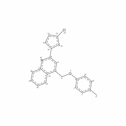 Cc1ccc(OCc2cc(-c3ccc(Cl)s3)nc3ccccc23)cc1